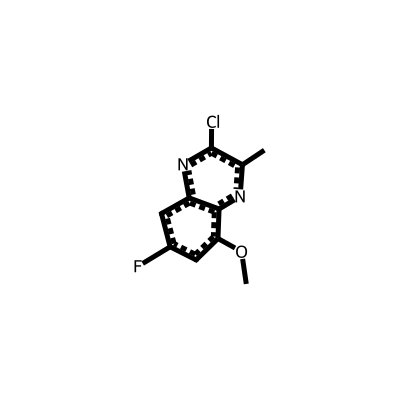 COc1cc(F)cc2nc(Cl)c(C)nc12